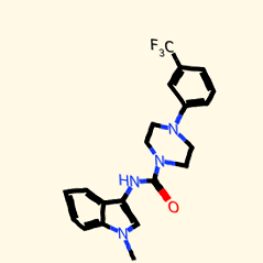 Cn1cc(NC(=O)N2CCN(c3cccc(C(F)(F)F)c3)CC2)c2ccccc21